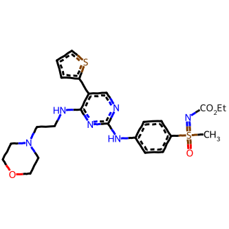 CCOC(=O)N=S(C)(=O)c1ccc(Nc2ncc(-c3cccs3)c(NCCN3CCOCC3)n2)cc1